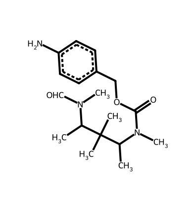 CC(N(C)C=O)C(C)(C)C(C)N(C)C(=O)OCc1ccc(N)cc1